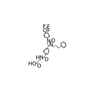 O=C(O)CCNC(=O)c1ccc(C2CN(c3ccc(OC(F)(F)F)cc3)C(=O)N2CCCc2ccccc2)cc1